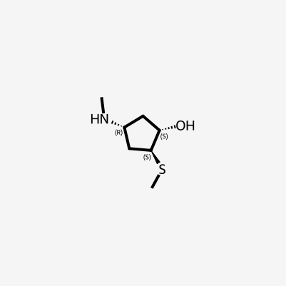 CN[C@H]1C[C@H](SC)[C@@H](O)C1